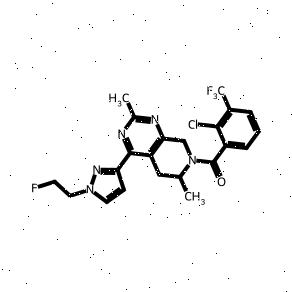 Cc1nc2c(c(-c3ccn(CCF)n3)n1)CC(C)N(C(=O)c1cccc(C(F)(F)F)c1Cl)C2